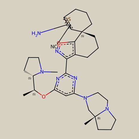 C[C@H](Oc1cc(N2CCN3CCC[C@]3(C)C2)nc(-c2noc3c2CCC[C@@]32CCCc3sc(N)c(C#N)c32)n1)[C@@H]1CCCN1C